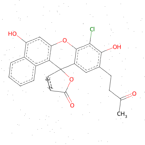 CC(=O)CCc1cc2c(c(Cl)c1O)Oc1cc(O)c3ccccc3c1C21OC(=O)c2ccccc21